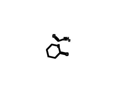 NC=O.O=C1CCCCS1